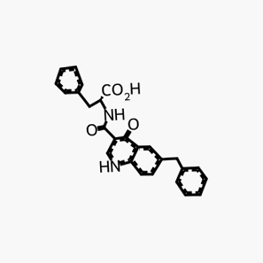 O=C(N[C@@H](Cc1ccccc1)C(=O)O)c1c[nH]c2ccc(Cc3ccccc3)cc2c1=O